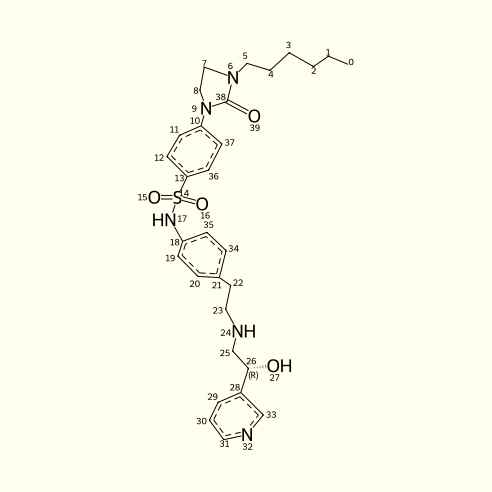 CCCCCCN1CCN(c2ccc(S(=O)(=O)Nc3ccc(CCNC[C@H](O)c4cccnc4)cc3)cc2)C1=O